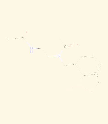 CC(=O)NCCN(Cc1cccc2c1B(O)OC2)C(C)=O